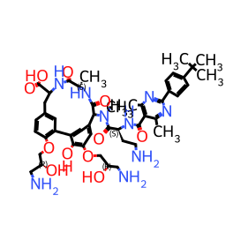 Cc1nc(-c2ccc(C(C)(C)C)cc2)nc(C)c1C(=O)N[C@@H](CCN)C(=O)N(C)C1C(=O)N[C@@H](C)C(=O)NC(C(=O)O)Cc2ccc(OC[C@H](O)CN)c(c2)-c2cc1cc(OC[C@H](O)CN)c2O